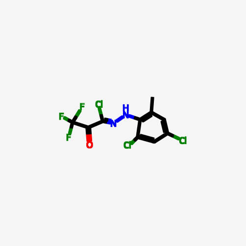 Cc1cc(Cl)cc(Cl)c1NN=C(Cl)C(=O)C(F)(F)F